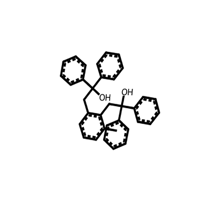 Cc1cccc(CC(O)(c2ccccc2)c2ccccc2)c1CC(O)(c1ccccc1)c1ccccc1